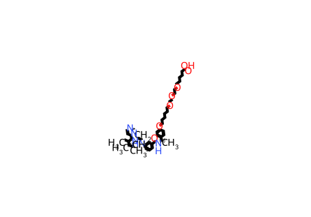 C=C(CNc1cccc(C(=O)N[C@H](C)c2ccc(OCCCCCCOCCOCCOCCCCCC(=O)O)cc2)c1)N(C)C(c1ccncn1)C(CC)[C@H](C)CC